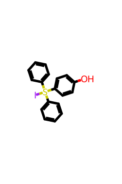 Oc1ccc(S(I)(c2ccccc2)c2ccccc2)cc1